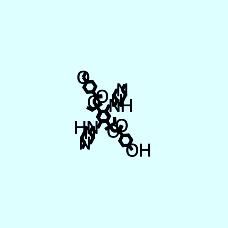 CCC(C)(OC(=O)C1CCC(O)CC1)c1cc(CNN2CCN(C)CC2)c(C(C)(CC)OC(=O)C2CCC(OC)CC2)cc1CNN1CCN(C)CC1